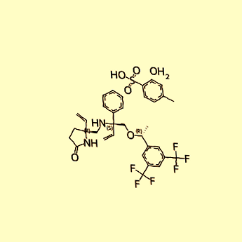 C=C[C@@]1(CN[C@](C=C)(CO[C@H](C)c2cc(C(F)(F)F)cc(C(F)(F)F)c2)c2ccccc2)CCC(=O)N1.Cc1ccc(S(=O)(=O)O)cc1.O